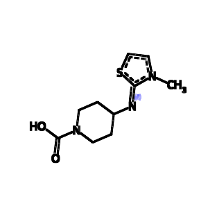 Cn1ccs/c1=N\C1CCN(C(=O)O)CC1